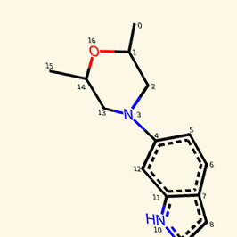 CC1CN(c2ccc3cc[nH]c3c2)CC(C)O1